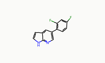 Fc1ccc(-c2cnc3[nH]ccc3c2)c(F)c1